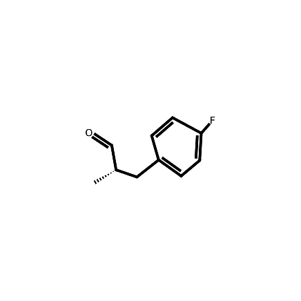 C[C@H](C=O)Cc1ccc(F)cc1